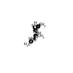 Cc1ccc2c(c1)NC(=S)Cc1cnc(Nc3ccc(C(=O)NC4CCN(C)CC4)nc3C)nc1-2